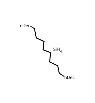 CCCCCCCCCCCCCCCCCCCCCCCCCCCC.[SiH4]